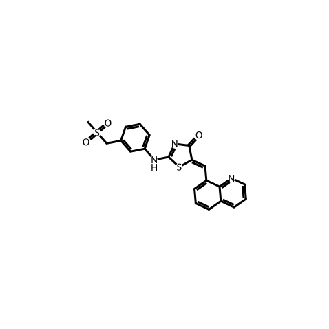 CS(=O)(=O)Cc1cccc(NC2=NC(=O)C(=Cc3cccc4cccnc34)S2)c1